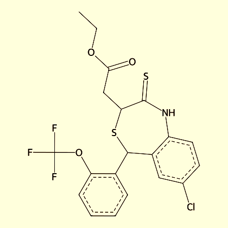 CCOC(=O)CC1SC(c2ccccc2OC(F)(F)F)c2cc(Cl)ccc2NC1=S